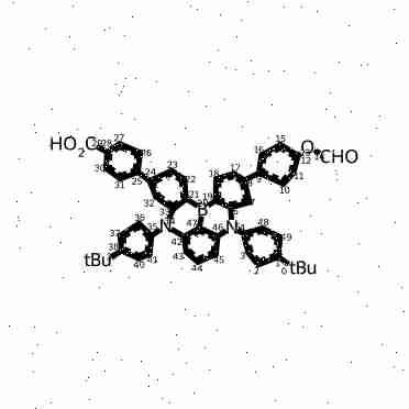 CC(C)(C)c1ccc(N2c3cc(-c4ccc(OC=O)cc4)ccc3B3c4ccc(-c5ccc(C(=O)O)cc5)cc4N(c4ccc(C(C)(C)C)cc4)c4cccc2c43)cc1